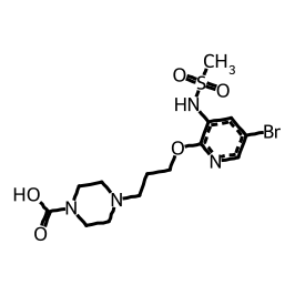 CS(=O)(=O)Nc1cc(Br)cnc1OCCCN1CCN(C(=O)O)CC1